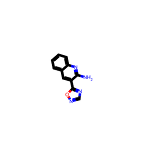 Nc1nc2ccccc2cc1-c1ncno1